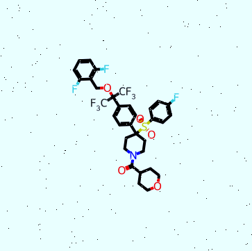 O=C(C1CCOCC1)N1CCC(c2ccc(C(OCc3c(F)cccc3F)(C(F)(F)F)C(F)(F)F)cc2)(S(=O)(=O)c2ccc(F)cc2)CC1